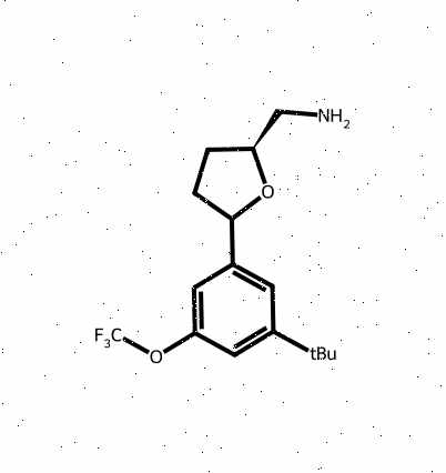 CC(C)(C)c1cc(OC(F)(F)F)cc(C2CC[C@@H](CN)O2)c1